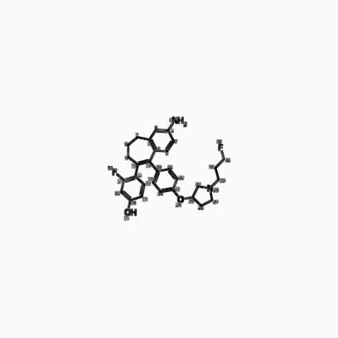 Nc1ccc2c(c1)CCCC(c1ccc(O)cc1F)=C2c1ccc(OC2CCN(CCCF)C2)cc1